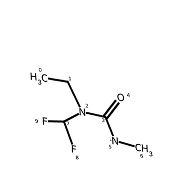 CCN(C(=O)[N]C)C(F)F